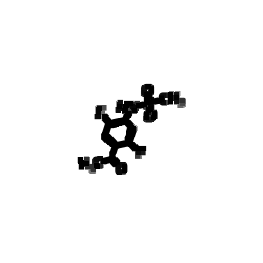 CC(=O)c1cc(F)c(NS(C)(=O)=O)cc1F